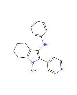 CCCn1c2c(c(Nc3ccccc3)c1-c1ccncc1)CCCC2